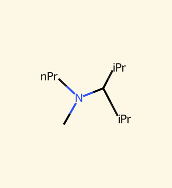 CCCN(C)C(C(C)C)C(C)C